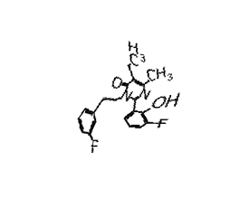 CCc1c(C)nc(-c2cccc(F)c2O)n(CCc2cccc(F)c2)c1=O